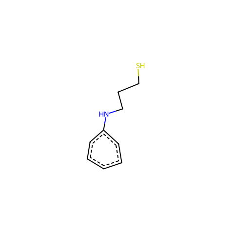 SCCCNc1ccccc1